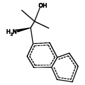 CC(C)(O)[C@H](N)c1ccc2ccccc2c1